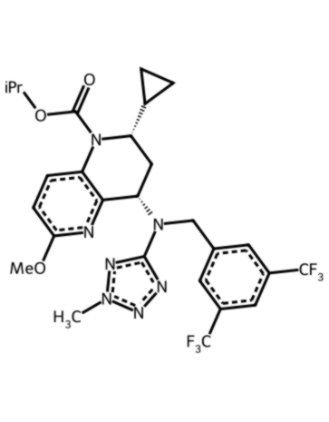 COc1ccc2c(n1)[C@@H](N(Cc1cc(C(F)(F)F)cc(C(F)(F)F)c1)c1nnn(C)n1)C[C@@H](C1CC1)N2C(=O)OC(C)C